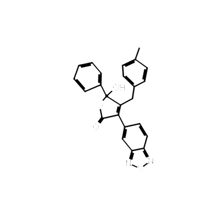 Cc1ccc(CC2=C(c3ccc4nsnc4c3)C(=O)OC2(O)c2ccccc2)cc1